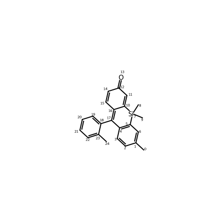 Cc1ccc2c(c1)[Si](C)(C)C1=CC(=O)C=CC1=C2c1ccccc1C